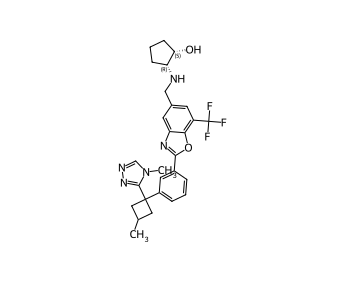 CC1CC(c2cccc(-c3nc4cc(CN[C@@H]5CCC[C@@H]5O)cc(C(F)(F)F)c4o3)c2)(c2nncn2C)C1